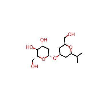 CC(C)C1C[C@@H](O[C@H]2C[C@@H](O)[C@H](O)[C@@H](CO)O2)C[C@@H](CO)O1